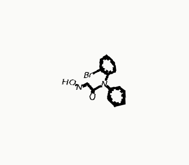 O=C(C=NO)N(c1ccccc1)c1ccccc1Br